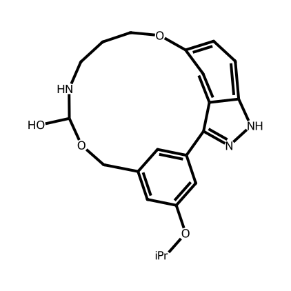 CC(C)Oc1cc2cc(c1)-c1n[nH]c3ccc(cc13)OCCCNC(O)OC2